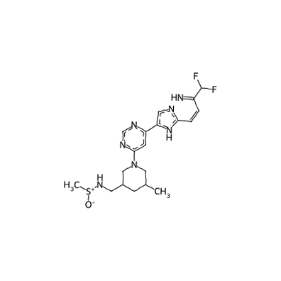 CC1CC(CN[S+](C)[O-])CN(c2cc(-c3cnc(/C=C\C(=N)C(F)F)[nH]3)ncn2)C1